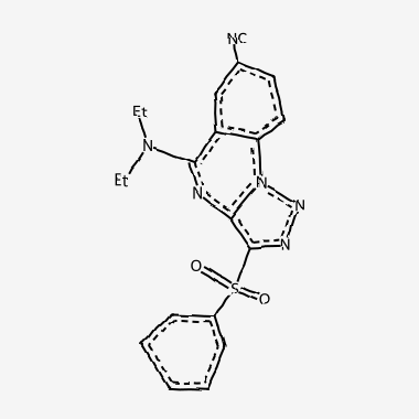 [C-]#[N+]c1ccc2c(c1)c(N(CC)CC)nc1c(S(=O)(=O)c3ccccc3)nnn12